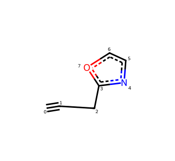 C#CCc1ncco1